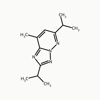 Cc1cc(C(C)C)nn2nc(C(C)C)nc12